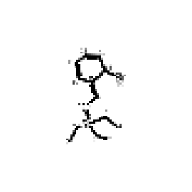 CC[Si](CC)(CC)OC=C1C=CC=CC1Br